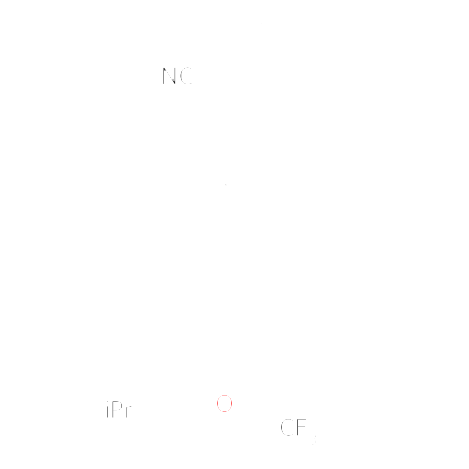 CC(C)c1ccc(C(C)(C)c2ccccc2C#N)cc1OC(F)(F)F